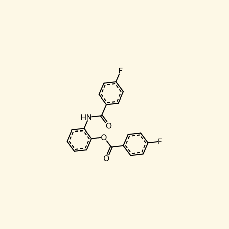 O=C(Nc1ccccc1OC(=O)c1ccc(F)cc1)c1ccc(F)cc1